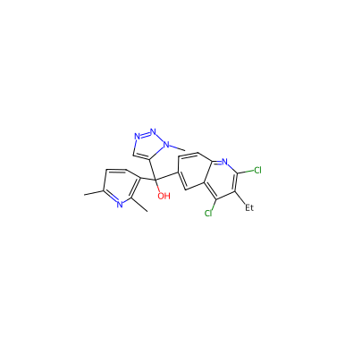 CCc1c(Cl)nc2ccc(C(O)(c3ccc(C)nc3C)c3cnnn3C)cc2c1Cl